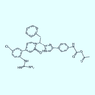 CC(=O)OC(=O)Nc1ccc(-c2c[nH]c(C(Cc3ccccc3)n3ccc(-c4cc(Cl)ccc4NC(=N)N)cc3=O)n2)cc1